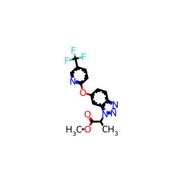 COC(=O)C(C)n1nnc2ccc(Oc3ccc(C(F)(F)F)cn3)cc21